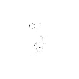 Nc1ncnc2c1ncn2[C@@H]1O[C@H](COC2CCCc3ccccc32)[C@@H](O)[C@H]1O